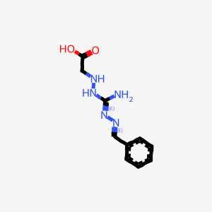 N/C(=N\N=C\c1ccccc1)NNCC(=O)O